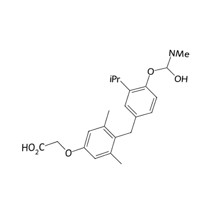 CNC(O)Oc1ccc(Cc2c(C)cc(OCC(=O)O)cc2C)cc1C(C)C